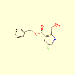 O=C(OCc1ccccc1)c1cc(Cl)cnc1CO